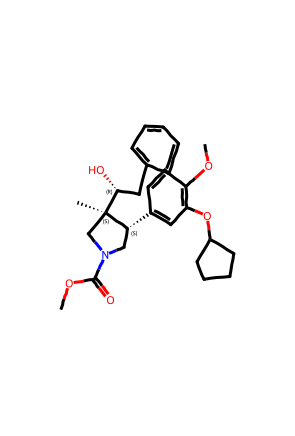 COC(=O)N1C[C@@H](c2ccc(OC)c(OC3CCCC3)c2)[C@](C)([C@H](O)Cc2ccccc2)C1